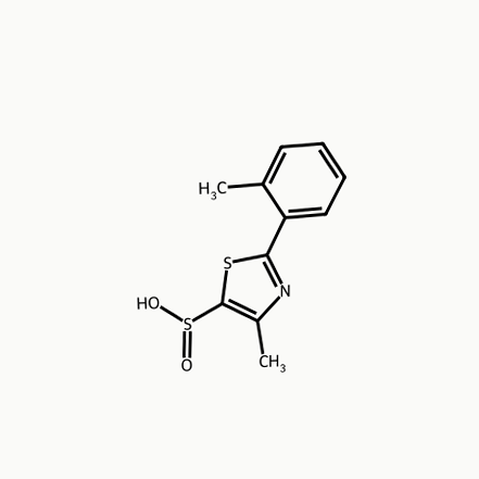 Cc1ccccc1-c1nc(C)c(S(=O)O)s1